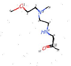 COCCN(C)CCNCC(C)=O